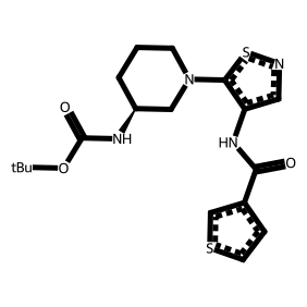 CC(C)(C)OC(=O)N[C@H]1CCCN(c2sncc2NC(=O)c2ccsc2)C1